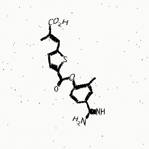 C/C(=C\c1ccc(C(=O)Oc2ccc(C(=N)N)cc2C)s1)C(=O)O